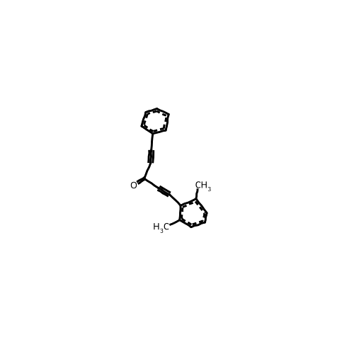 Cc1cccc(C)c1C#CC(=O)C#Cc1ccccc1